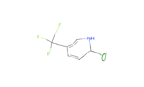 FC(F)(F)C1=CN[C](Cl)C=C1